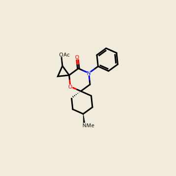 CN[C@H]1CC[C@@]2(CC1)CN(c1ccccc1)C(=O)C1(CC1OC(C)=O)O2